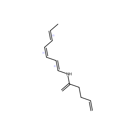 C=CCCC(=C)N/C=C/C=C\C=C\C